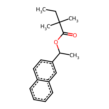 CCC(C)(C)C(=O)OC(C)c1ccc2ccccc2c1